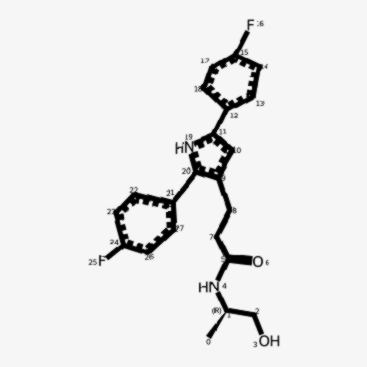 C[C@H](CO)NC(=O)CCc1cc(-c2ccc(F)cc2)[nH]c1-c1ccc(F)cc1